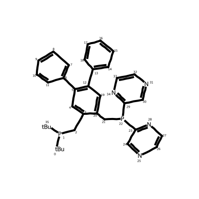 CC(C)(C)P(Cc1cc(-c2ccccc2)c(-c2ccccc2)cc1CP(c1cnccn1)c1cnccn1)C(C)(C)C